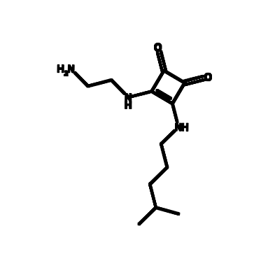 CC(C)CCCNc1c(NCCN)c(=O)c1=O